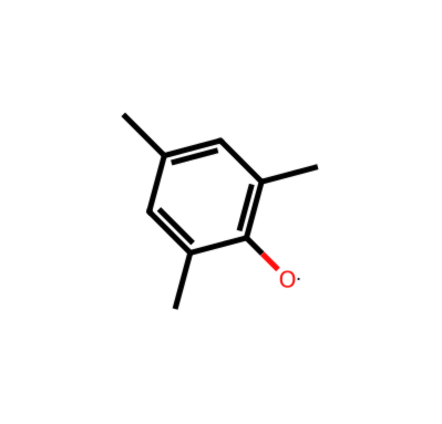 Cc1cc(C)c([O])c(C)c1